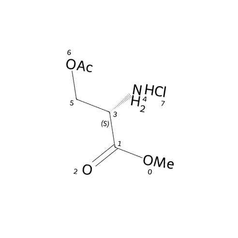 COC(=O)[C@@H](N)COC(C)=O.Cl